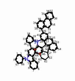 c1ccc(-n2c3ccccc3c3ccc(-c4ccccc4N(c4cccc(-c5cccc6c5ccc5ccccc56)c4)c4ccccc4-c4cccc5cccc(C6CCCCC6)c45)cc32)cc1